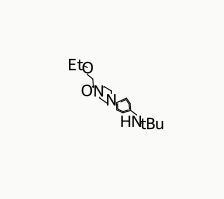 CCOCCC(=O)N1CCN(c2ccc(CNC(C)(C)C)cc2)CC1